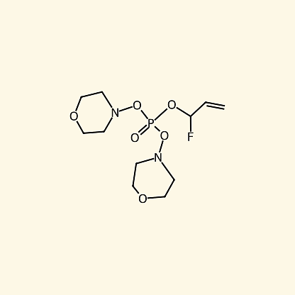 C=CC(F)OP(=O)(ON1CCOCC1)ON1CCOCC1